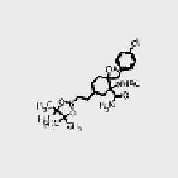 CC(=O)NC1(C(N)=O)CC(CCB2OC(C)(C)C(C)(C)O2)CCC1(Cc1ccc(Cl)cc1)OC(C)=O